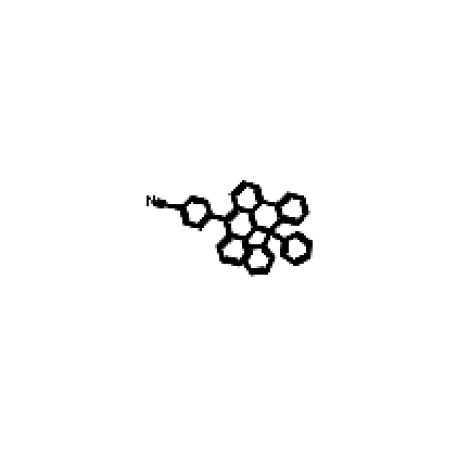 N#Cc1ccc(-c2c3ccccc3c3c4c(cccc24)-c2ccccc2C3(c2ccccc2)c2ccccc2)cc1